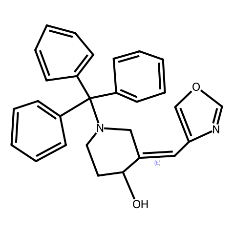 OC1CCN(C(c2ccccc2)(c2ccccc2)c2ccccc2)C/C1=C\c1cocn1